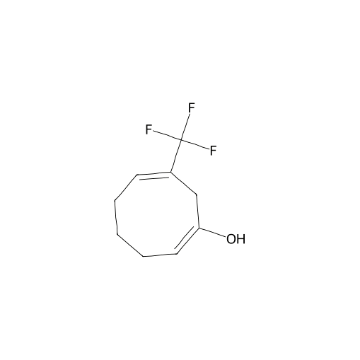 OC1=CCCCC=C(C(F)(F)F)C1